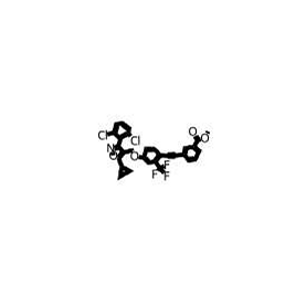 COC(=O)c1cccc(C#Cc2ccc(OCc3c(-c4c(Cl)cccc4Cl)noc3C3CC3)cc2C(F)(F)F)c1